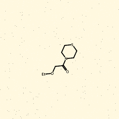 [CH2]COCC(=O)N1CCSCC1